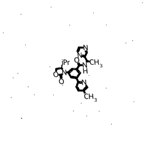 Cc1ccc(-c2cc(C(=O)NC(C)c3cnccn3)cc(N3C(=O)OC[C@H]3C(C)C)c2)nc1